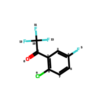 O=C(c1cc(F)ccc1Cl)C(F)(F)F